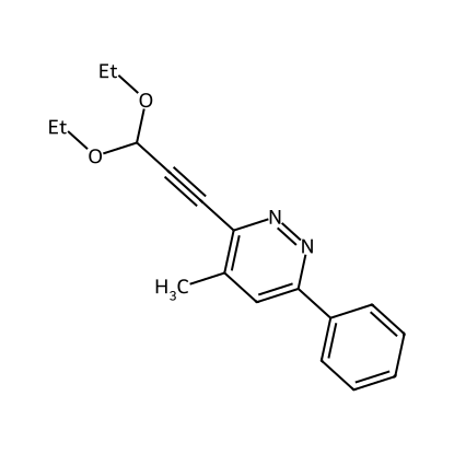 CCOC(C#Cc1nnc(-c2ccccc2)cc1C)OCC